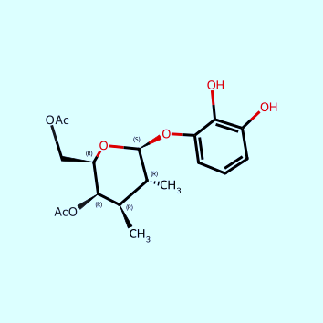 CC(=O)OC[C@H]1O[C@@H](Oc2cccc(O)c2O)[C@H](C)[C@@H](C)[C@H]1OC(C)=O